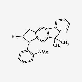 CCC1Cc2cc3c(cc2N1c1ccccc1NC)C(C)(C)c1ccccc1-3